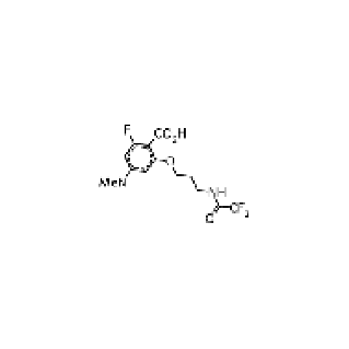 CNc1cc(F)c(C(=O)O)c(OCCCNC(=O)C(F)(F)F)c1